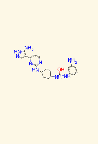 Nc1cccc(NC(O)NC2CCC(Nc3nccc(-c4cn[nH]c4N)n3)CC2)c1